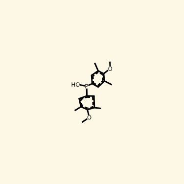 COc1c(C)cc(P(O)c2cc(C)c(OC)c(C)c2)cc1C